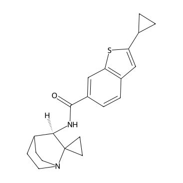 O=C(N[C@@H]1C2CCN(CC2)C12CC2)c1ccc2cc(C3CC3)sc2c1